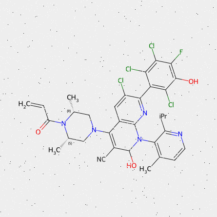 C=CC(=O)N1[C@H](C)CN(C2=C(C#N)C(O)N(c3c(C)ccnc3C(C)C)c3nc(-c4c(Cl)c(O)c(F)c(Cl)c4Cl)c(Cl)cc32)C[C@@H]1C